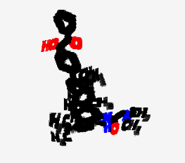 C=C(C)[C@@H]1CC[C@]2(CNC(=O)CN(C)C)CC[C@]3(C)[C@H](CC[C@@H]4[C@@]5(C)CC=C(c6ccc(C(O)C(=O)c7ccccc7)cc6)C(C)(C)[C@@H]5CC[C@]43C)[C@@H]12